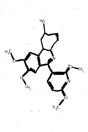 COc1ccc(C2=NC3CCC(O)CC3c3cc(OC)c(OC)cc32)c(OC)n1